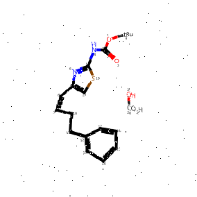 CC(C)(C)OC(=O)Nc1nc(/C=C\CCc2ccccc2)cs1.O=C(O)O